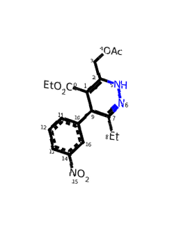 CCOC(=O)C1=C(COC(C)=O)NN=C(CC)C1c1cccc([N+](=O)[O-])c1